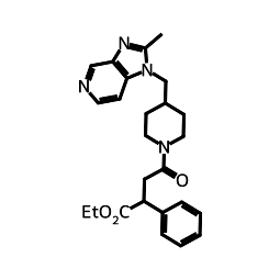 CCOC(=O)C(CC(=O)N1CCC(Cn2c(C)nc3cnccc32)CC1)c1ccccc1